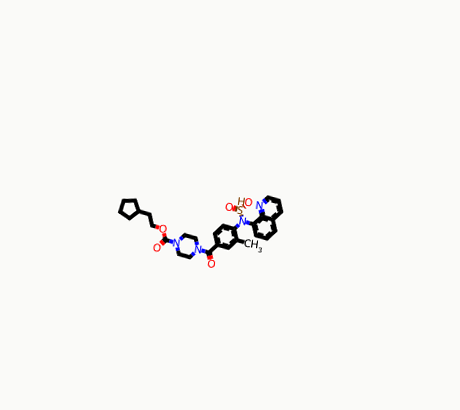 Cc1cc(C(=O)N2CCN(C(=O)OCCC3CCCC3)CC2)ccc1N(c1cccc2cccnc12)[SH](=O)=O